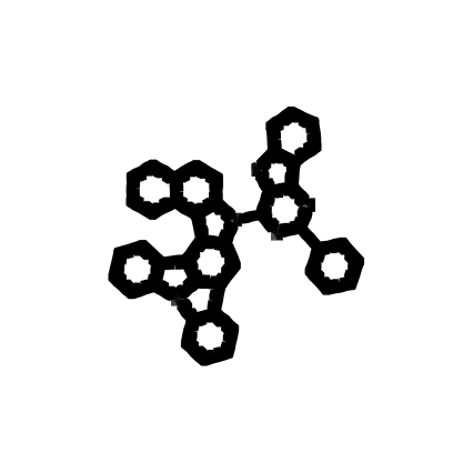 c1ccc(-c2nc(-n3c4ccc5ccccc5c4c4c5c6ccccc6n6c7ccccc7c(cc43)c56)c3sc4ccccc4c3n2)cc1